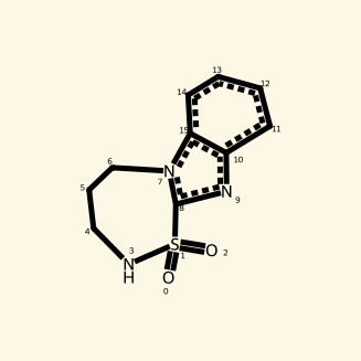 O=S1(=O)NCCCn2c1nc1ccccc12